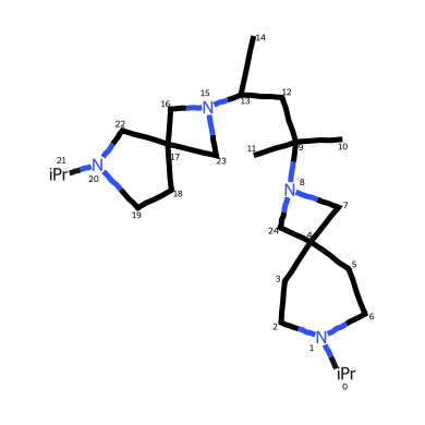 CC(C)N1CCC2(CC1)CN(C(C)(C)CC(C)N1CC3(CCN(C(C)C)C3)C1)C2